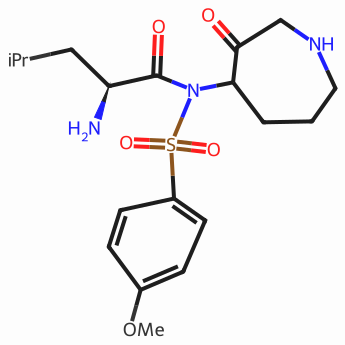 COc1ccc(S(=O)(=O)N(C(=O)[C@@H](N)CC(C)C)C2CCCNCC2=O)cc1